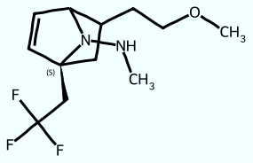 CNN1C2C=C[C@@]1(CC(F)(F)F)CC2CCOC